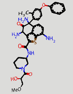 COC[C@@H](O)C(=O)N1CCC[C@@H](NC(=O)c2sc3c(N)ccc4c3c2C(N)C(=O)C4(N)c2ccc(Oc3ccccc3)cc2C)C1